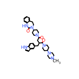 CN1CCN(C2CCN(C(=O)C(CC(=O)N3CCC(N4CCc5ccccc5NC4=O)CC3)Cc3ccc4[nH]ccc4c3)CC2)CC1